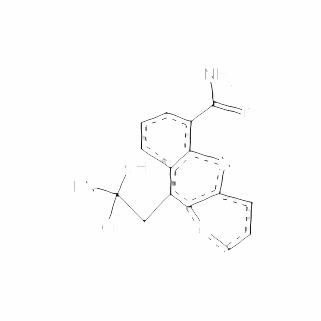 CC(C)(N)Cc1c2ccccc2nc2c(C(N)=O)cccc12